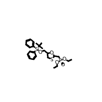 CCOP(=O)(CC1OC(CO[Si](c2ccccc2)(c2ccccc2)C(C)(C)C)CS1)OCC